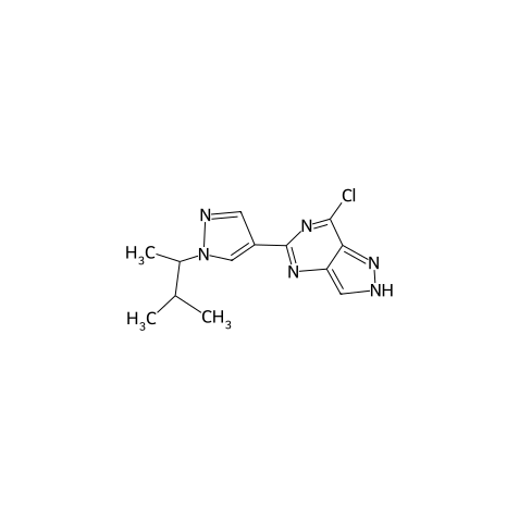 CC(C)C(C)n1cc(-c2nc(Cl)c3n[nH]cc3n2)cn1